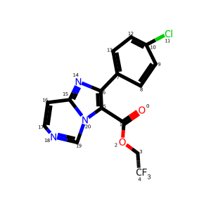 O=C(OCC(F)(F)F)c1c(-c2ccc(Cl)cc2)nc2ccncn12